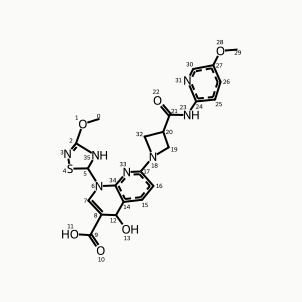 COC1=NSC(N2C=C(C(=O)O)C(O)c3ccc(N4CC(C(=O)Nc5ccc(OC)cn5)C4)nc32)N1